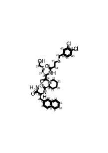 NC(=O)[C@H](Cc1ccc2ccccc2c1)NC(=O)[C@@H]1CCCCN1C(=O)[C@H](CSCO)NC(=O)CCSCc1ccc(Cl)c(Cl)c1